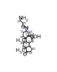 C[C@]12CCC3C(C[C@@H](O)[C@H]4C/C(=N/OCCN)CC[C@]34C)C1CCC2=O